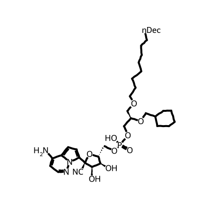 CCCCCCCCCCCCCCCCCCOC[C@H](COP(=O)(O)OC[C@H]1O[C@@](C#N)(c2ccc3c(N)ccnn23)[C@H](O)[C@@H]1O)OCC1CCCCC1